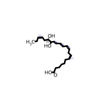 CC/C=C\C[C@H](O)C(O)/C=C/C=C/C=C\C/C=C\CCCCCC(=O)O